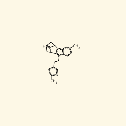 Cc1ccc2c(c1)c1c(n2CCc2ccc(C)nc2)C2CCCC1N2C